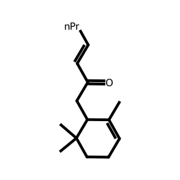 CCCC=CC(=O)CC1C(C)=CCCC1(C)C